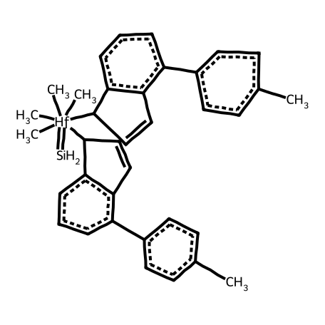 Cc1ccc(-c2cccc3c2C=C[CH]3[Hf]([CH3])([CH3])([CH3])([CH3])(=[SiH2])[CH]2C=Cc3c(-c4ccc(C)cc4)cccc32)cc1